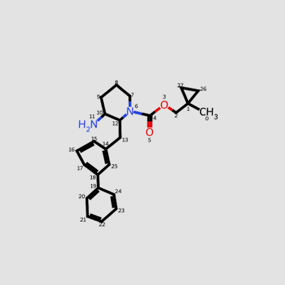 CC1(COC(=O)N2CCCC(N)C2Cc2cccc(-c3ccccc3)c2)CC1